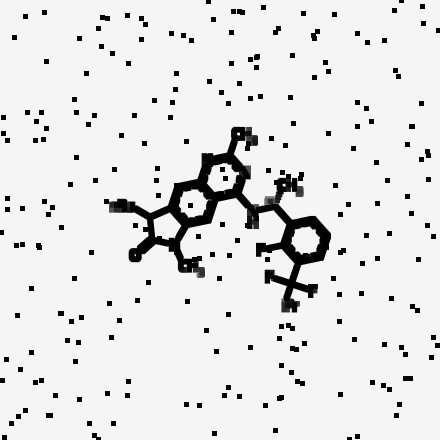 CCCCC1C(=O)N(C)c2cc3c(N[C@H](C)c4cccc(C(F)(F)C(C)C)c4F)nc(C)nc3cc21